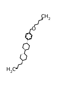 C=CCCCOCc1ccc([C@H]2CC[C@H]([C@H]3CC[C@H](CCC=C)CC3)CC2)cc1